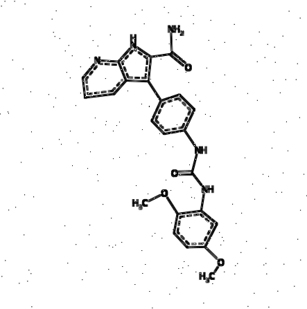 COc1ccc(OC)c(NC(=O)Nc2ccc(-c3c(C(N)=O)[nH]c4ncccc34)cc2)c1